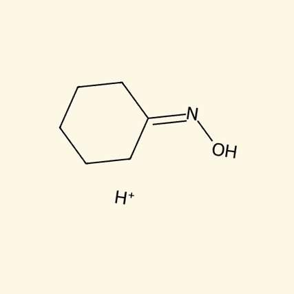 ON=C1CCCCC1.[H+]